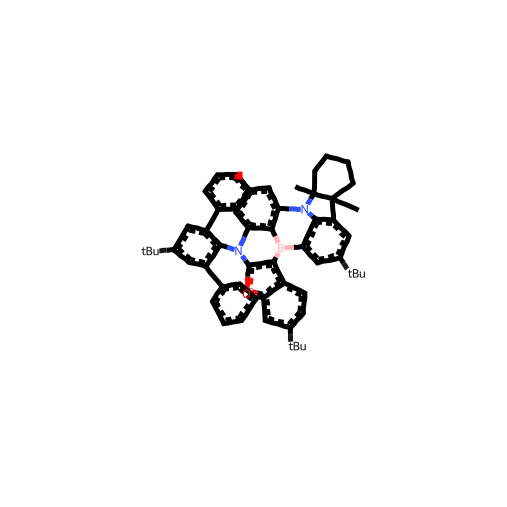 Cc1cc2c3c(c1)N1c4c(cc(C(C)(C)C)cc4C4(C)CCCCC14C)B3c1c(oc3cc(C(C)(C)C)ccc13)N2c1c(-c2ccccc2)cc(C(C)(C)C)cc1-c1ccccc1